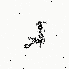 COc1cc2c(cc1OCCCN1CCOCC1)[nH]c1ncnc(N3CCN(C(=S)Nc4ccc(S(=O)(=O)NC(C)=O)cc4)CC3)c12